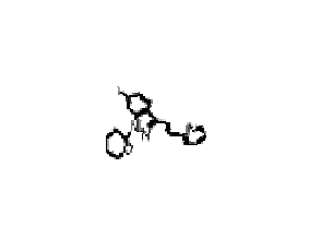 Ic1ccc2c(C=Cc3ccccn3)nn(C3CCCCO3)c2c1